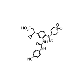 CCN(c1ccc(C(CC(=O)O)C2CC2)cc1NC(=O)Nc1ccc(C#N)cc1)C1CCS(=O)(=O)CC1